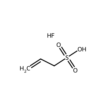 C=CCS(=O)(=O)O.F